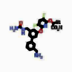 CCC(Oc1nc(Oc2cc(CNC(N)=O)cc(-c3cccc(CN)c3)c2)c(F)cc1F)C(=O)O